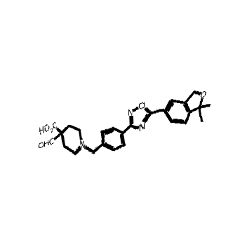 CC1(C)OCc2cc(-c3nc(-c4ccc(CN5CCC(C=O)(C(=O)O)CC5)cc4)no3)ccc21